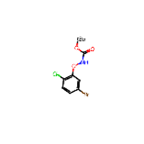 CC(C)(C)OC(=O)NOc1cc(Br)ccc1Cl